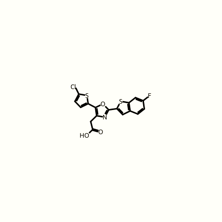 O=C(O)Cc1nc(-c2cc3ccc(F)cc3s2)oc1-c1ccc(Cl)s1